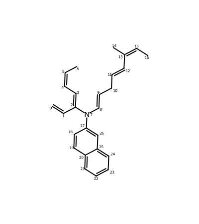 C=C/C(=C\C=C/C)N(/C=C/CC=C/C(C)=C\C)c1ccc2ccccc2c1